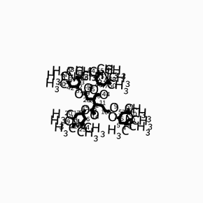 CN1C(C)(C)CC(OC(=O)CCC(C(=O)OC2CC(C)(C)N(C)C(C)(C)C2)C(CC(=O)OC2CC(C)(C)N(C)C(C)(C)C2)C(=O)OC2CC(C)(C)N(C)C(C)(C)C2)CC1(C)C